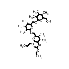 C=CCO[C@@H]1OC(CO[C@@H]2OC(CO[C@@H]3OC(CO)[C@@H](C)[C@H](C)C3C)[C@@H](C)[C@H](C)C2C)[C@@H](C)[C@H](C)C1NC(=O)OCC(Cl)(Cl)Cl